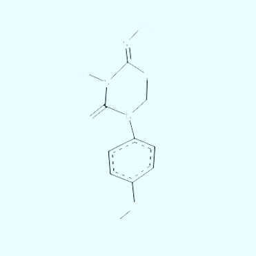 CCOc1ccc(N2CSC(=NC(C)(C)C)N(C(C)CC)C2=O)cc1